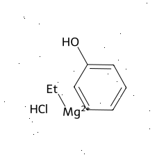 C[CH2][Mg+2].Cl.Oc1ccccc1